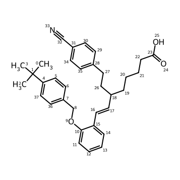 CC(C)(C)c1ccc(COc2ccccc2C=CC(CCCCC(=O)O)CCc2ccc(C#N)cc2)cc1